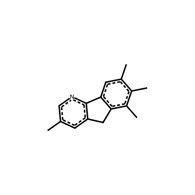 Cc1cnc2c(c1)Cc1c-2cc(C)c(C)c1C